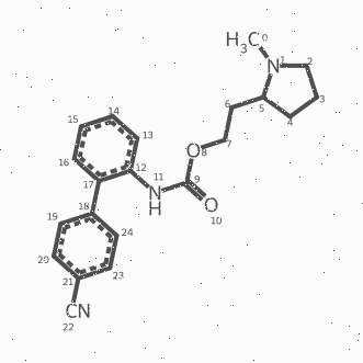 CN1CCCC1CCOC(=O)Nc1ccccc1-c1ccc(C#N)cc1